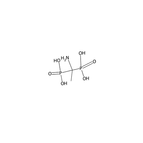 CC(N)(P(=O)(O)O)P(=O)(O)O